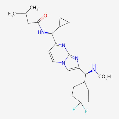 CC(CC(=O)N[C@H](c1ccn2cc([C@@H](NC(=O)O)C3CCC(F)(F)CC3)nc2n1)C1CC1)C(F)(F)F